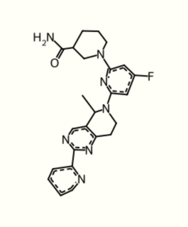 CC1c2cnc(-c3ccccn3)nc2CCN1c1cc(F)cc(N2CCCC(C(N)=O)C2)n1